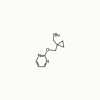 CC(C)(C)CC1(COc2ncccn2)CC1